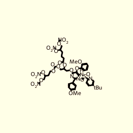 COc1ccc(-c2nc(NS(=O)(=O)c3ccc(C(C)(C)C)cn3)c(Oc3ccccc3OC)c(OCC(COC(=O)OCCC(CO[N+](=O)[O-])O[N+](=O)[O-])OC(=O)CCCC(CO[N+](=O)[O-])O[N+](=O)[O-])n2)cc1